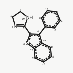 c1ccc(-c2c(C3=NCCN3)sc3ccccc23)cc1